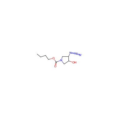 CCCCOC(=O)N1CC(O)C(N=[N+]=[N-])C1